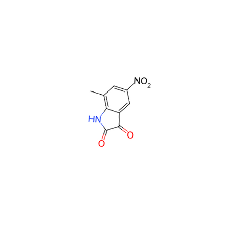 Cc1cc([N+](=O)[O-])cc2c1NC(=O)C2=O